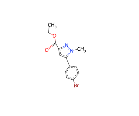 CCOC(=O)c1cc(-c2ccc(Br)cc2)n(C)n1